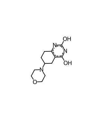 Oc1nc(O)c2c(n1)CCC(N1CCOCC1)C2